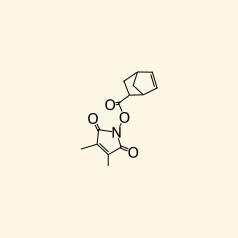 CC1=C(C)C(=O)N(OC(=O)C2CC3C=CC2C3)C1=O